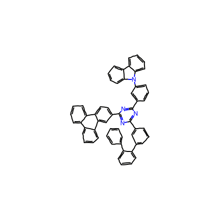 c1ccc(-c2ccccc2-c2cccc(-c3nc(-c4cccc(-n5c6ccccc6c6ccccc65)c4)nc(-c4ccc5c6ccccc6c6ccccc6c5c4)n3)c2)cc1